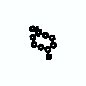 c1ccc(-c2cc(-c3ccccc3)cc(-c3cccc(-c4cccc(-c5ccc(-c6nc(-c7cccc(-c8ccccc8)c7)c7c(n6)sc6ccccc67)cc5)c4)c3)c2)cc1